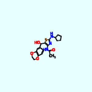 CC(=O)Nc1nc(NC2CCCC2)sc1C(O)c1ccc2c(c1)OCCO2